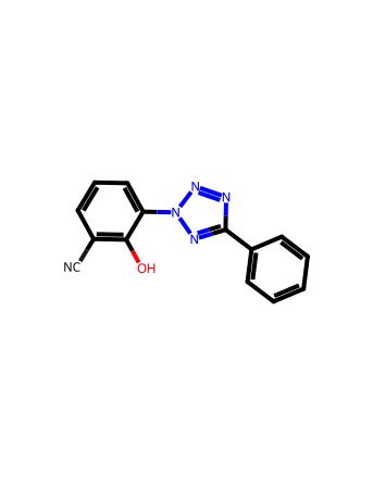 N#Cc1cccc(-n2nnc(-c3ccccc3)n2)c1O